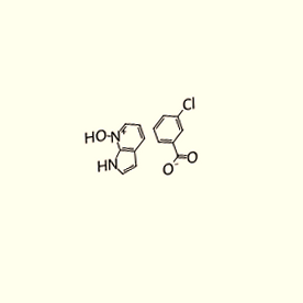 O=C([O-])c1cccc(Cl)c1.O[n+]1cccc2cc[nH]c21